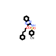 N#Cc1ccc(S(=O)(=O)Nc2nc3ccccc3nc2OCCCc2ccccc2)cc1